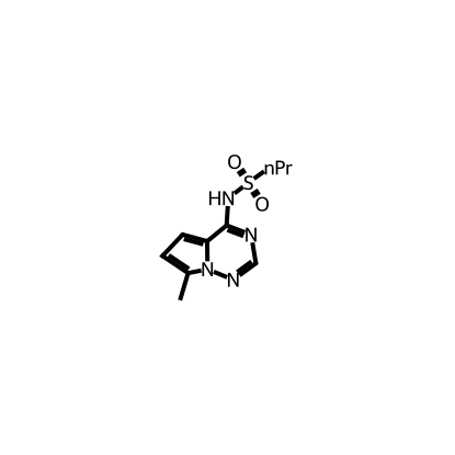 CCCS(=O)(=O)Nc1ncnn2c(C)ccc12